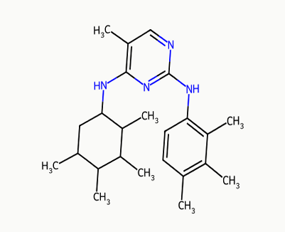 Cc1cnc(Nc2ccc(C)c(C)c2C)nc1NC1CC(C)C(C)C(C)C1C